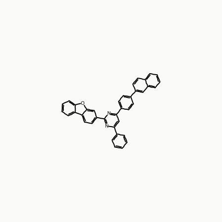 c1ccc(-c2cc(-c3ccc(-c4ccc5ccccc5c4)cc3)nc(-c3ccc4c(c3)oc3ccccc34)n2)cc1